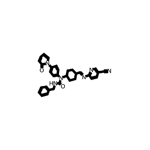 N#Cc1ccc(/N=C/C2CCC(N(C(=O)NCc3ccccc3)c3ccc(-n4ccccc4=O)cc3)CC2)nc1